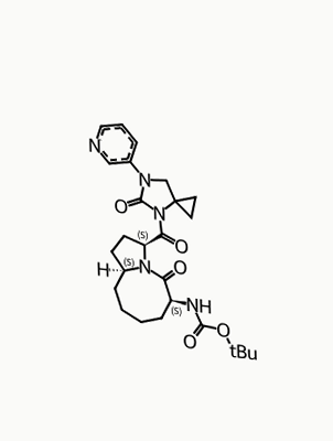 CC(C)(C)OC(=O)N[C@H]1CCCC[C@H]2CC[C@@H](C(=O)N3C(=O)N(c4cccnc4)CC34CC4)N2C1=O